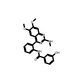 CNc1nc(-c2ccccc2NC(=O)c2cccc(O)c2)c2cc(OC)c(OC)cc2n1